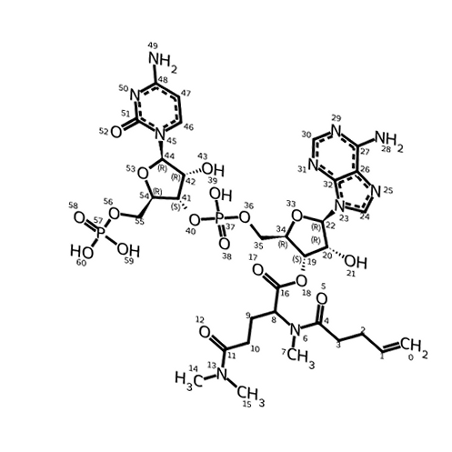 C=CCCC(=O)N(C)C(CCC(=O)N(C)C)C(=O)O[C@H]1[C@@H](O)[C@H](n2cnc3c(N)ncnc32)O[C@@H]1COP(=O)(O)O[C@H]1[C@@H](O)[C@H](n2ccc(N)nc2=O)O[C@@H]1COP(=O)(O)O